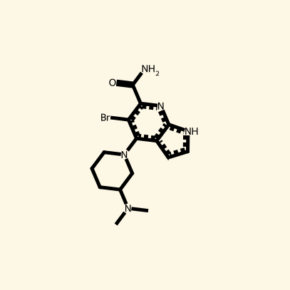 CN(C)C1CCCN(c2c(Br)c(C(N)=O)nc3[nH]c[c]c23)C1